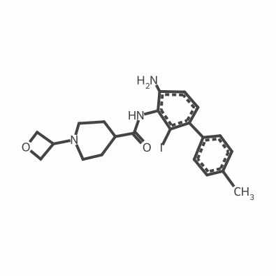 Cc1ccc(-c2ccc(N)c(NC(=O)C3CCN(C4COC4)CC3)c2I)cc1